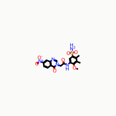 COc1c(NC(=O)Cn2cnc3cc([N+](=O)[O-])ccc3c2=O)cc(S(N)(=O)=O)c(C)c1C